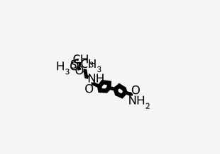 C[Si](C)(C)OCCNC(=O)c1ccc(-c2ccc(C(N)=O)cc2)cc1